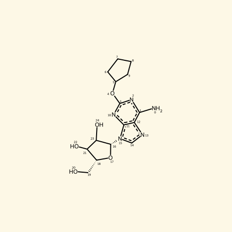 Nc1nc(OC2CCCC2)nc2c1ncn2[C@@H]1O[C@H](CO)C(O)C1O